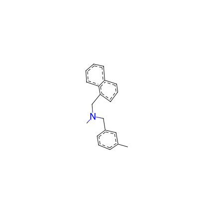 Cc1cccc(CN(C)Cc2cccc3ccccc23)c1